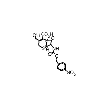 O=C(NC1C(=O)N2C(C(=O)O)=C(CO)CS[C@@H]12)OCc1ccc([N+](=O)[O-])cc1